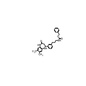 Cc1cc2c(cc1C(F)(F)F)NC(=O)CC(c1cccc(CCCNC(=O)OCc3ccccc3)c1)N2